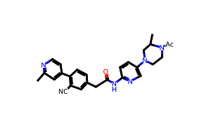 CC(=O)N1CCN(c2ccc(NC(=O)Cc3ccc(-c4ccnc(C)c4)c(C#N)c3)nc2)CC1C